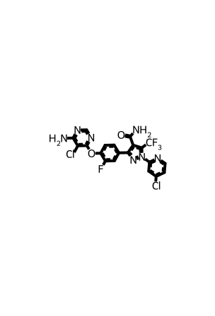 NC(=O)c1c(-c2ccc(Oc3ncnc(N)c3Cl)c(F)c2)nn(-c2cc(Cl)ccn2)c1C(F)(F)F